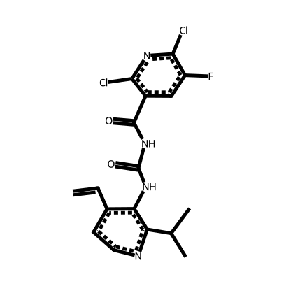 C=Cc1ccnc(C(C)C)c1NC(=O)NC(=O)c1cc(F)c(Cl)nc1Cl